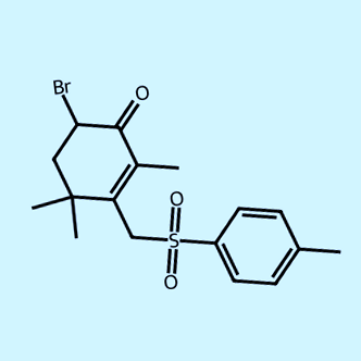 CC1=C(CS(=O)(=O)c2ccc(C)cc2)C(C)(C)CC(Br)C1=O